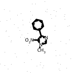 Cn1cnc(-c2ccccc2)c1[N+](=O)[O-]